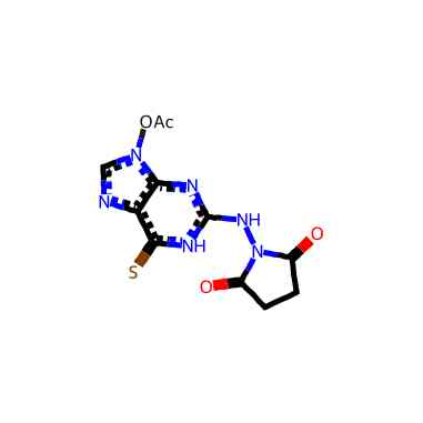 CC(=O)On1cnc2c(=S)[nH]c(NN3C(=O)CCC3=O)nc21